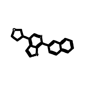 C1=Cc2c(C3CCOC3)cnc(-c3ccc4ccccc4c3)c2[N]1